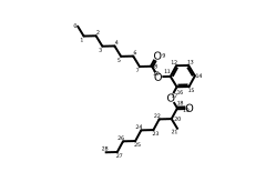 CCCCCCCCC(=O)Oc1ccccc1OC(=O)C(C)CCCCCCC